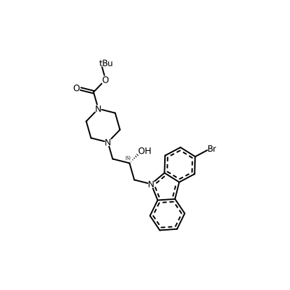 CC(C)(C)OC(=O)N1CCN(C[C@H](O)Cn2c3ccccc3c3cc(Br)ccc32)CC1